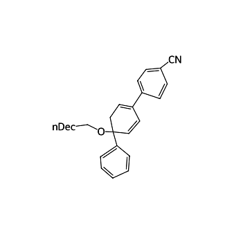 CCCCCCCCCCCOC1(c2ccccc2)C=CC(c2ccc(C#N)cc2)=CC1